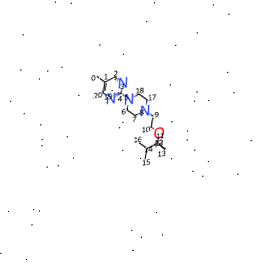 Cc1cnc(N2CCN(CCO[C@@H](C)C(C)C)CC2)nc1